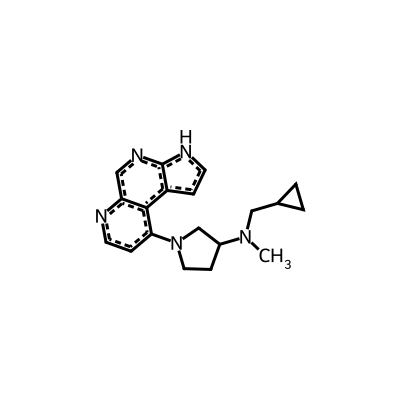 CN(CC1CC1)C1CCN(c2ccnc3cnc4[nH]ccc4c23)C1